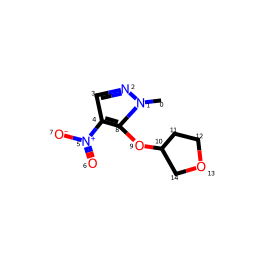 Cn1ncc([N+](=O)[O-])c1OC1CCOC1